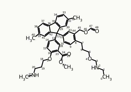 CCNCOCCCc1ccc(C2(c3ccc(OCCCNC)c(C(=O)OC)c3)c3cc(C)ccc3-c3ccc(C)cc32)cc1COC=O